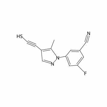 Cc1c(C#CS)cnn1-c1cc(F)cc(C#N)c1